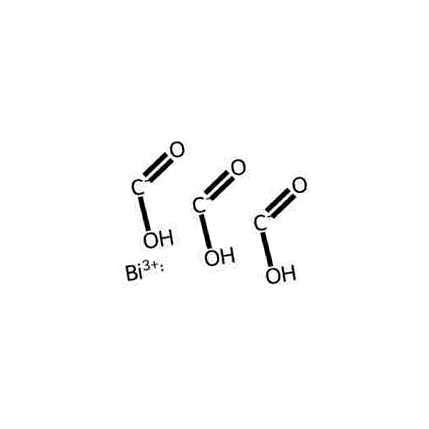 O=[C-]O.O=[C-]O.O=[C-]O.[Bi+3]